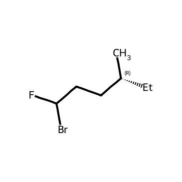 CC[C@@H](C)CCC(F)Br